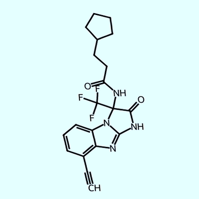 C#Cc1cccc2c1nc1n2C(NC(=O)CCC2CCCC2)(C(F)(F)F)C(=O)N1